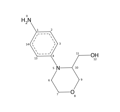 Nc1ccc(N2CCOCC2CO)cc1